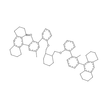 COc1c(-c2ccccc2OCC2CCCCC2COc2ccccc2-c2cccc(-c3c4c(cc5c3CCCC5)CCCC4)c2C)cc(C)cc1-c1c2c(cc3c1CCCC3)CCCC2